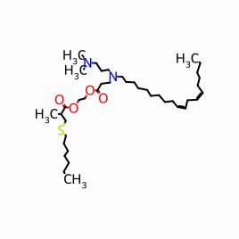 CCCCC/C=C\C/C=C\CCCCCCCCCN(CCCN(C)C)CCC(=O)OCCOC(=O)C(C)CSCCCCCCC